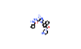 N=C(OC(=N)c1nc(-c2ccc(C(=O)N3CCCNCC3)c3ccccc23)cnc1N)c1ccccc1